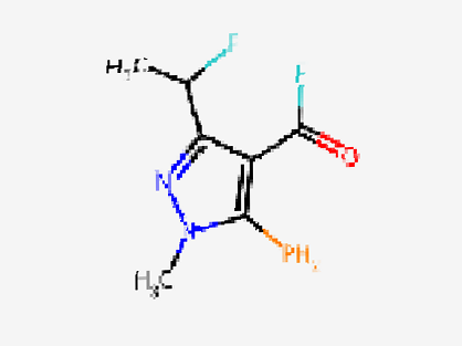 CC(F)c1nn(C)c(P)c1C(=O)F